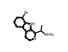 CC(=O)NC(C)c1nccc2c1[nH]c1c(Br)cccc12